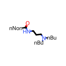 CCCCCCCCCC(=O)NCCCN(CCCC)CCCC